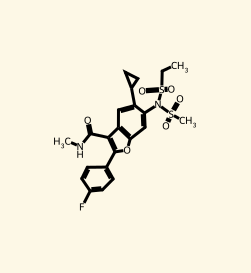 CCS(=O)(=O)N(c1cc2oc(-c3ccc(F)cc3)c(C(=O)NC)c2cc1C1CC1)S(C)(=O)=O